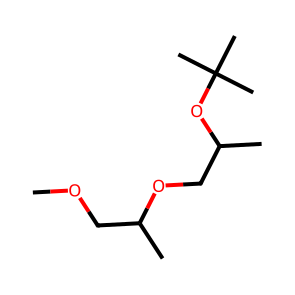 COCC(C)OCC(C)OC(C)(C)C